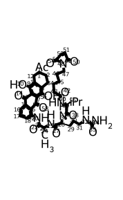 CC(=O)[C@H]1CCc2c(O)c3c(c(O)c2C1)C(=O)c1cccc(NC(=O)[C@H](C)NC(=O)[C@H](CCCNC(N)=O)NC(=O)[C@@H](NC(=O)CCCCCN2C(=O)C=CC2=O)C(C)C)c1C3=O